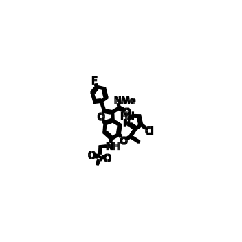 CNC(=O)c1c(-c2ccc(F)cc2)oc2cc(NCS(C)(=O)=O)c(OC(C)c3n[nH]cc3Cl)cc12